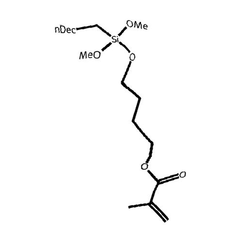 C=C(C)C(=O)OCCCCO[Si](CCCCCCCCCCC)(OC)OC